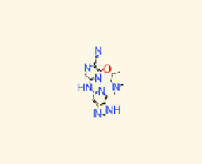 CC(CN(C)C)Oc1nc(Nc2cc3nc[nH]c3cn2)cnc1C#N